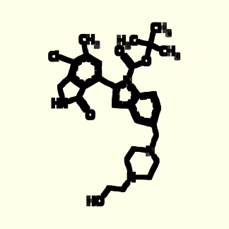 Cc1cc(-c2cc3cc(CN4CCN(CCO)CC4)ccc3n2C(=O)OC(C)(C)C)c2c(c1Cl)CNC2=O